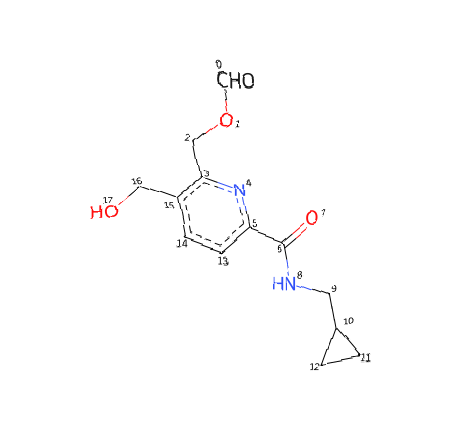 O=COCc1nc(C(=O)NCC2CC2)ccc1CO